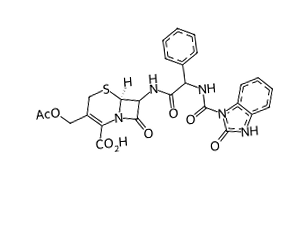 CC(=O)OCC1=C(C(=O)O)N2C(=O)C(NC(=O)C(NC(=O)n3c(=O)[nH]c4ccccc43)c3ccccc3)[C@@H]2SC1